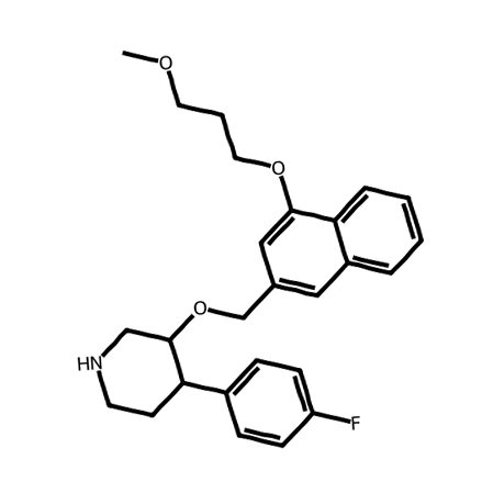 COCCCOc1cc(COC2CNCCC2c2ccc(F)cc2)cc2ccccc12